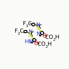 Cc1nc(-c2ccc(C(F)(F)F)cc2)sc1CSc1ccc(OCC(=O)O)c2cc[nH]c12.Cc1nc(-c2ccc(C(F)(F)F)cc2)sc1CSc1ccc(OCC(=O)O)c2ccn(C)c12